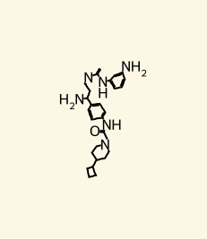 C=C(/N=C\CC(N)c1ccc(NC(=O)CN2CCC(C3CCC3)CC2)cc1)Nc1cccc(N)c1